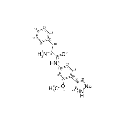 COc1cc(NC(=O)[C@H](N)Cc2ccccc2)ccc1-c1cn[nH]c1